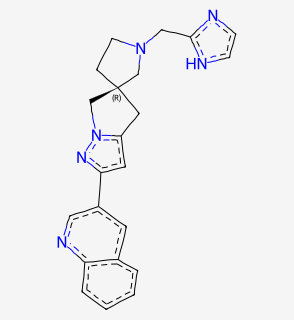 c1ccc2ncc(-c3cc4n(n3)C[C@]3(CCN(Cc5ncc[nH]5)C3)C4)cc2c1